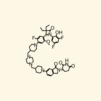 CCC1(CC)C(=O)N(c2cc(F)cc(F)c2O)[C@H]1c1cc(F)c(N2CCC(CN3CCN(CC4CCN(c5ccc6c(c5)C(=O)N([C@H]5CCC(=O)NC5=O)C6)CC4)CC3)CC2)cc1OC